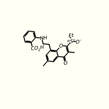 CC[S@+]([O-])c1oc2c(CCNc3ccccc3C(=O)O)cc(C)cc2c(=O)c1C